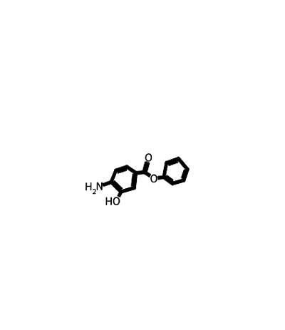 Nc1ccc(C(=O)Oc2ccccc2)cc1O